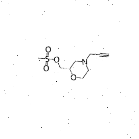 C#CCN1CCO[C@H](COS(C)(=O)=O)C1